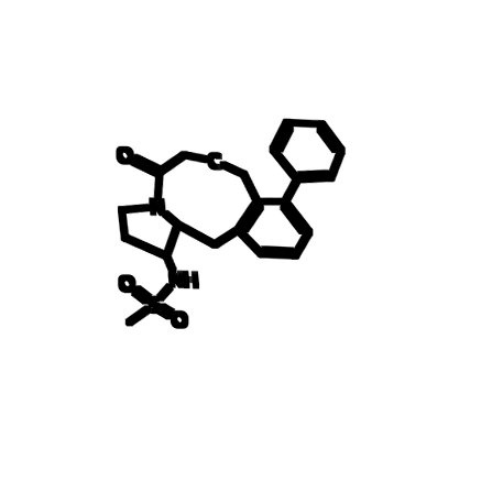 CS(=O)(=O)NC1CCN2C(=O)CCCc3c(cccc3-c3ccccc3)CC12